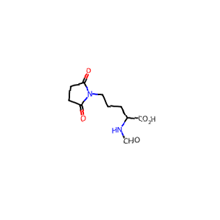 O=CNC(CCCN1C(=O)CCC1=O)C(=O)O